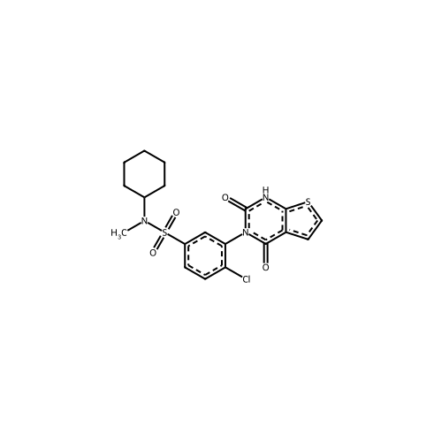 CN(C1CCCCC1)S(=O)(=O)c1ccc(Cl)c(-n2c(=O)[nH]c3sccc3c2=O)c1